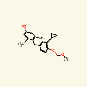 COCOc1ccc(Cc2c(C)cc(O)cc2C)cc1C1CC1